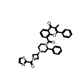 Cc1c(-c2ccccc2)oc2c(C(=O)N3CCN(C4CN(C(=O)c5nccs5)C4)CC3c3ccccc3)cccc2c1=O